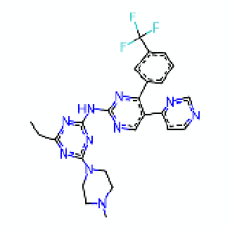 CCc1nc(Nc2ncc(-c3ccncn3)c(-c3cccc(C(F)(F)F)c3)n2)nc(N2CCN(C)CC2)n1